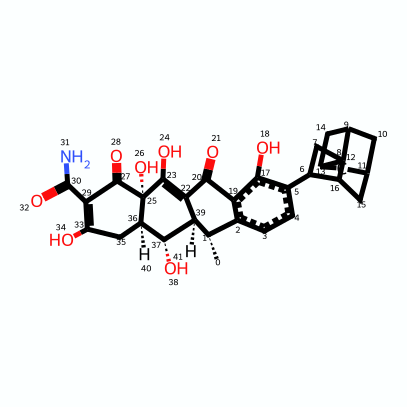 C[C@H]1c2ccc(C3CC45C6CC(CC4C6)CC35)c(O)c2C(=O)C2=C(O)[C@]3(O)C(=O)C(C(N)=O)=C(O)C[C@@H]3[C@@H](O)[C@@H]21